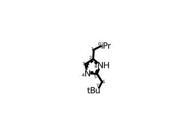 CC(C)Cc1cnc(CC(C)(C)C)[nH]1